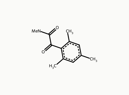 CNC(=O)C(=O)c1c(C)cc(C)cc1C